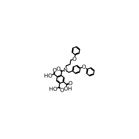 O=C(O)c1cc(C(=O)O)c(C(=O)N(CCCOc2ccccc2)Cc2ccc(Oc3ccccc3)cc2)cc1C(=O)O